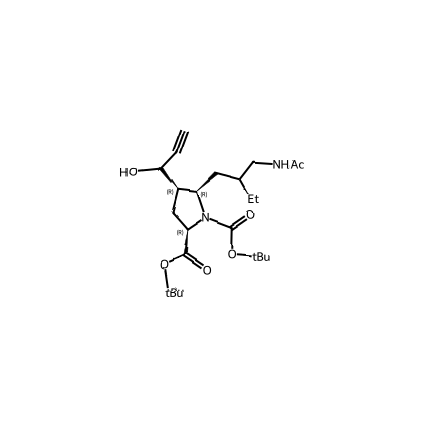 C#CC(O)[C@@H]1C[C@H](C(=O)OC(C)(C)C)N(C(=O)OC(C)(C)C)[C@@H]1CC(CC)CNC(C)=O